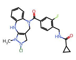 CN1C2=C(CN(C(=O)c3ccc(CNC(=O)C4CC4)c(F)c3)c3ccccc3N2)CN1Cl